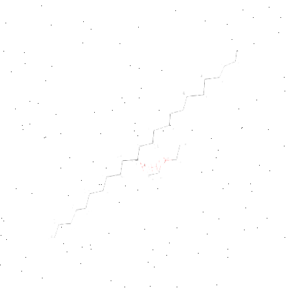 CCCCCCCCCCCCCC(O)CCCCCCCCCC.CCOCC